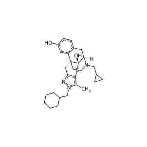 Cc1c2c(nn1CC1CCCCC1)C[C@]13CCN(CC4CC4)[C@H](Cc4ccc(O)cc41)[C@]3(O)C2